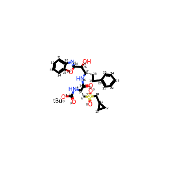 CC(C)(C)OC(=O)N[C@@H](CS(=O)(=O)CC1CC1)C(=O)N[C@@H](CCc1ccccc1)C(O)c1nc2ccccc2o1